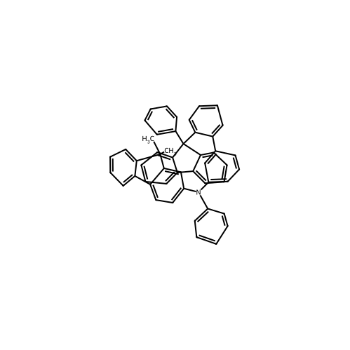 CC1(C)c2ccccc2-c2ccc(N(c3ccccc3)c3cccc(-c4ccccc4C4(c5ccccc5)c5ccccc5-c5ccccc54)c3)cc21